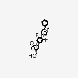 C[Si]1(c2ccccc2)CCN(c2c(F)cc(N3C[C@H](CO)OC3=O)cc2F)CC1